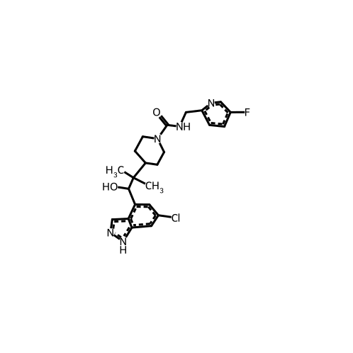 CC(C)(C1CCN(C(=O)NCc2ccc(F)cn2)CC1)C(O)c1cc(Cl)cc2[nH]ncc12